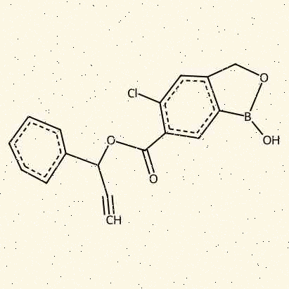 C#CC(OC(=O)c1cc2c(cc1Cl)COB2O)c1ccccc1